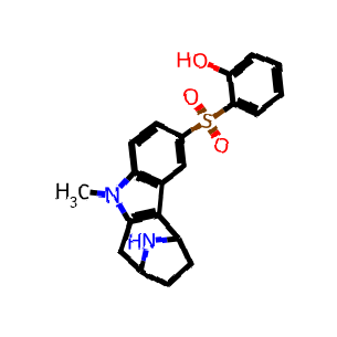 Cn1c2c(c3cc(S(=O)(=O)c4ccccc4O)ccc31)C1CCC(C2)N1